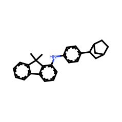 CC1(C)c2ccccc2-c2cccc(Nc3ccc(C4CC5CCC4C5)cc3)c21